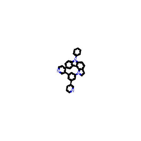 c1ccc(-n2c3ccccc3c3c4c(ccc32)ccn4-c2cc(-c3cccnc3)cc(-c3cccnc3)c2)cc1